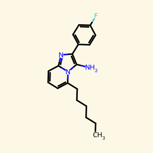 CCCCCCc1cccc2nc(-c3ccc(F)cc3)c(N)n12